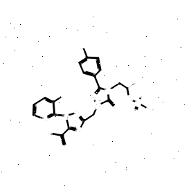 NC(=O)c1nc(Cn2nc(-c3ccc(Cl)cc3)n(C[C@H](OP(=O)([O-])O)C(F)(F)F)c2=O)nn1-c1ncccc1C(F)(F)F.[Li+]